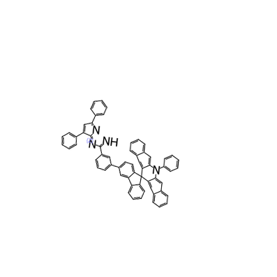 N=C(/N=C1\N=C(c2ccccc2)C=C1c1ccccc1)c1cccc(-c2ccc3c(c2)-c2ccccc2C32c3cc4ccccc4cc3N(c3ccccc3)c3cc4ccccc4cc32)c1